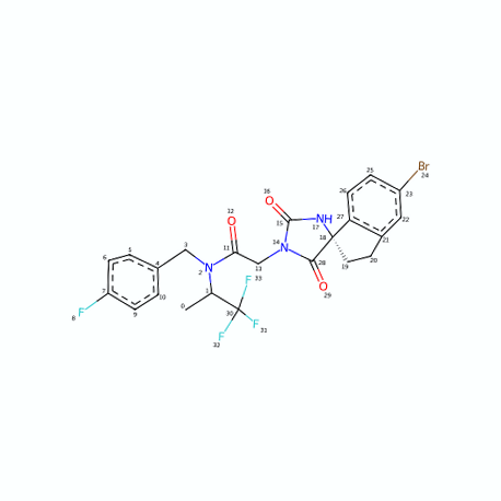 CC(N(Cc1ccc(F)cc1)C(=O)CN1C(=O)N[C@]2(CCc3cc(Br)ccc32)C1=O)C(F)(F)F